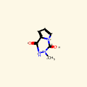 Cn1[nH]c(=O)c2cccn2c1=O